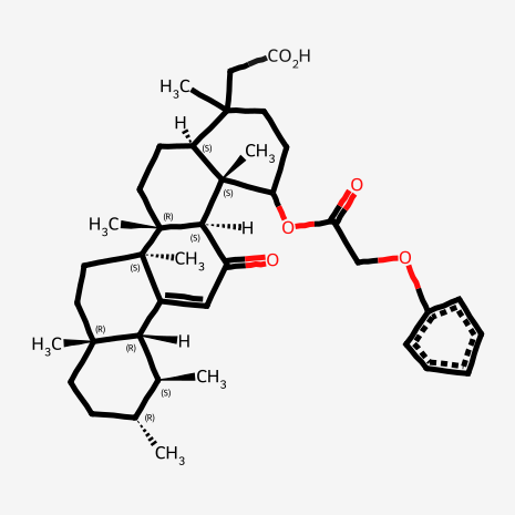 C[C@H]1[C@H](C)CC[C@]2(C)CC[C@]3(C)C(=CC(=O)[C@@H]4[C@@]5(C)C(OC(=O)COc6ccccc6)CCC(C)(CC(=O)O)[C@@H]5CC[C@]43C)[C@H]12